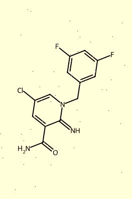 N=c1c(C(N)=O)cc(Cl)cn1Cc1cc(F)cc(F)c1